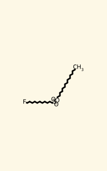 CCCCCCCCCCCCCCCOS(=O)(=O)CCCCCCCCCCCF